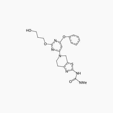 CNC(=O)Nc1nc2c(s1)CN(c1cc(Oc3ccccc3)nc(OCCCO)n1)CC2